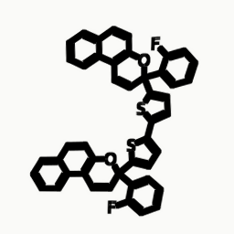 Fc1ccccc1C1(c2ccc(-c3ccc(C4(c5ccccc5F)C=Cc5c(ccc6ccccc56)O4)s3)s2)C=Cc2c(ccc3ccccc23)O1